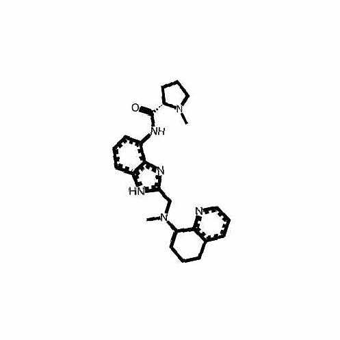 CN(Cc1nc2c(NC(=O)[C@@H]3CCCN3C)cccc2[nH]1)C1CCCc2cccnc21